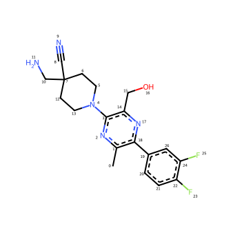 Cc1nc(N2CCC(C#N)(CN)CC2)c(CO)nc1-c1ccc(F)c(F)c1